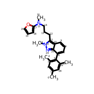 Cc1cc(C)c(-c2cccc3c(CCCN(C)c4ccco4)n(C)nc23)c(C)c1